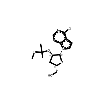 COC(C)(C)O[C@@H]1C[C@@H](CO)O[C@H]1n1ccc2c(Cl)ncnc21